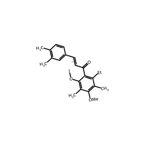 CCc1c(C)c(OC)c(C)c(OI)c1C(=O)/C=C/c1ccc(C)c(C)c1